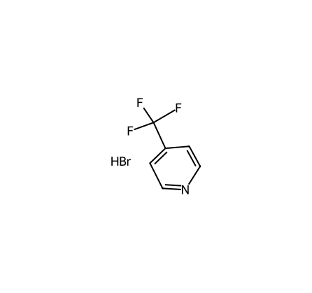 Br.FC(F)(F)c1ccncc1